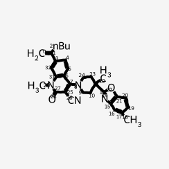 C=C(CCCC)c1ccc2c(N3CCC(C)(c4nc5cc(C)ccc5o4)CC3)c(C#N)c(=O)n(C)c2c1